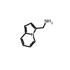 NCc1ccc2ccccn12